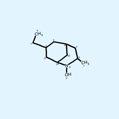 CCC1CC2CC(C)N(O)C(C1)C2